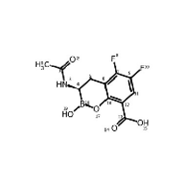 CC(=O)N[C@H]1Cc2c(F)c(F)cc(C(=O)O)c2OB1O